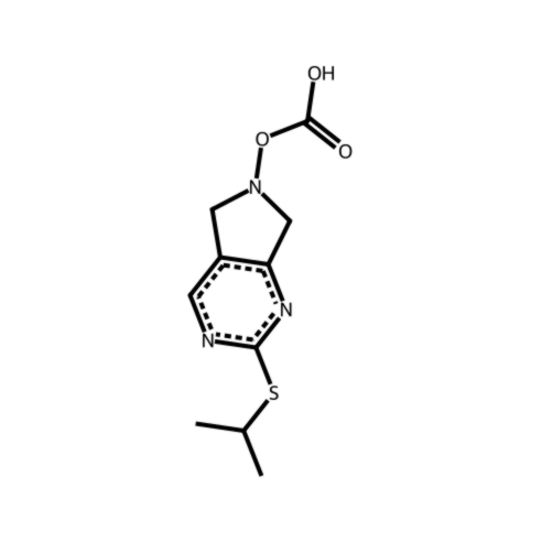 CC(C)Sc1ncc2c(n1)CN(OC(=O)O)C2